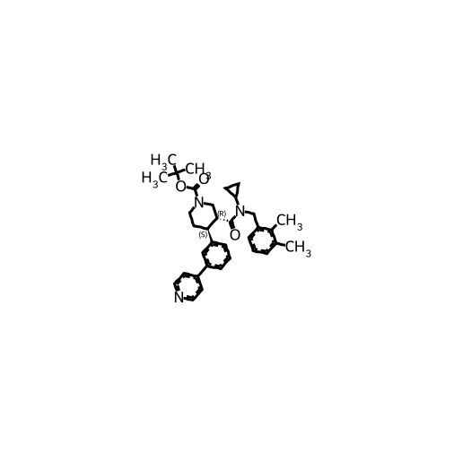 Cc1cccc(CN(C(=O)[C@H]2CN(C(=O)OC(C)(C)C)CC[C@@H]2c2cccc(-c3ccncc3)c2)C2CC2)c1C